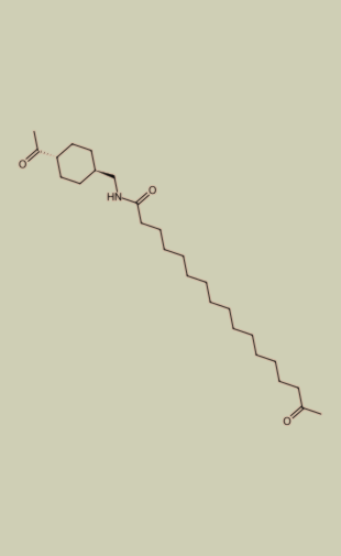 CC(=O)CCCCCCCCCCCCCCC(=O)NC[C@H]1CC[C@H](C(C)=O)CC1